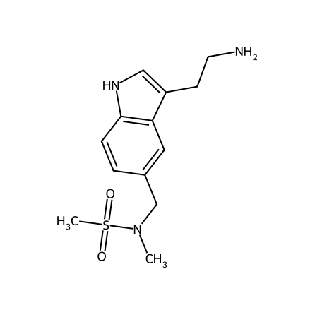 CN(Cc1ccc2[nH]cc(CCN)c2c1)S(C)(=O)=O